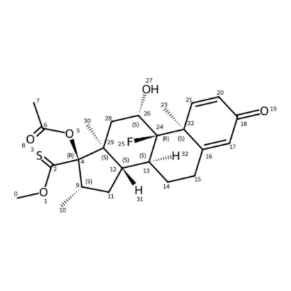 COC(=S)[C@@]1(OC(C)=O)[C@@H](C)C[C@H]2[C@@H]3CCC4=CC(=O)C=C[C@]4(C)[C@@]3(F)[C@@H](O)C[C@@]21C